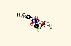 COc1ccc(CN2CC(=O)N(c3ccc(Cl)cc3)C3(CCN(C(=O)OC(C)(C)C)C3)C2=O)cc1